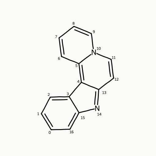 c1ccc2c3c4ccccn4ccc-3nc2c1